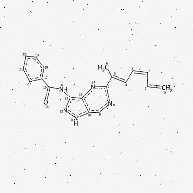 C=C/C=C\C=C(/C)c1ncc2[nH]nc(NC(=O)c3ccccc3)c2n1